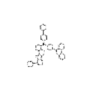 c1ccc(-c2ccc(N(c3ccc(-c4cc5ccccc5c5ccccc45)cc3)c3cccc4c3ccc3c5cccc(-c6ccccc6)c5oc43)cc2)cc1